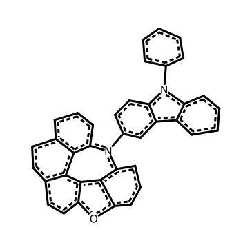 c1ccc(-n2c3ccccc3c3cc(-n4c5cccc6ccc7ccc8oc9cccc4c9c8c7c65)ccc32)cc1